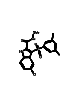 CNNC(=O)c1[nH]c2ccc(Cl)cc2c1S(=O)(=O)c1cc(C)cc(C)c1